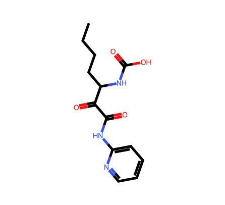 CCCCC(NC(=O)O)C(=O)C(=O)Nc1ccccn1